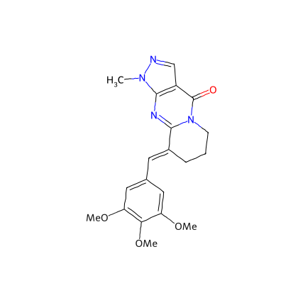 COc1cc(C=C2CCCn3c2nc2c(cnn2C)c3=O)cc(OC)c1OC